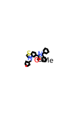 COC(=O)C(N=C(c1ccccc1)c1ccccc1)c1ccc2c(c1)N(Cc1ccccc1)CCS2